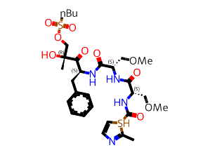 CCCCS(=O)(=O)OC[C@@](C)(O)C(=O)[C@H](Cc1ccccc1)NC(=O)[C@H](COC)NC(=O)[C@H](COC)NC(=O)[SH]1C=CN=C1C